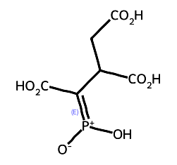 O=C(O)CC(C(=O)O)/C(C(=O)O)=[P+](/[O-])O